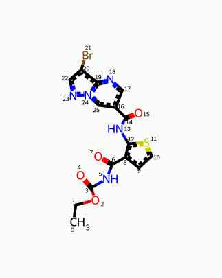 CCOC(=O)NC(=O)c1ccsc1NC(=O)c1cnc2c(Br)cnn2c1